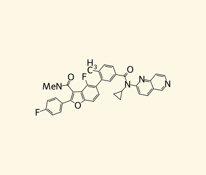 CNC(=O)c1c(-c2ccc(F)cc2)oc2ccc(-c3cc(C(=O)N(c4ccc5cnccc5n4)C4CC4)ccc3C)c(F)c12